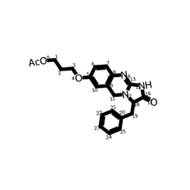 CC(=O)OCCCOc1ccc2c(c1)CN1C(=N2)NC(=O)C1Cc1ccccc1